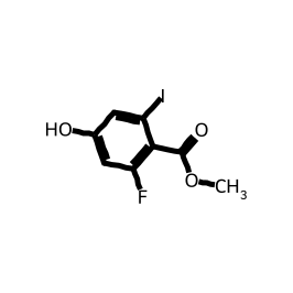 COC(=O)c1c(F)cc(O)cc1I